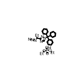 CCC(N=[N+]=[N-])c1ncn(C(c2ccccc2)(c2ccccc2)c2ccccc2)n1.CCOP(=O)(O)OCC